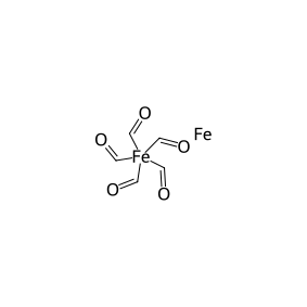 O=[CH][Fe]([CH]=O)([CH]=O)([CH]=O)[CH]=O.[Fe]